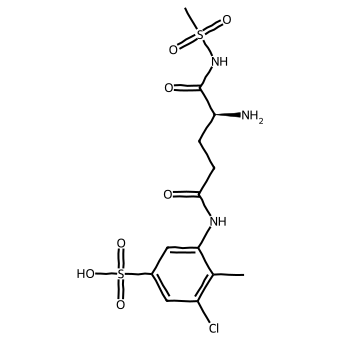 Cc1c(Cl)cc(S(=O)(=O)O)cc1NC(=O)CC[C@H](N)C(=O)NS(C)(=O)=O